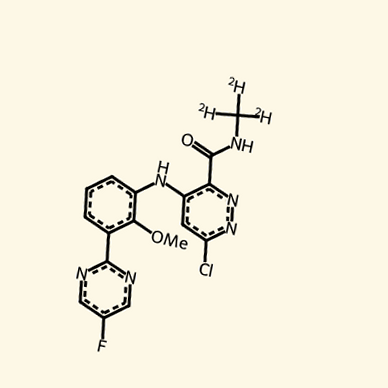 [2H]C([2H])([2H])NC(=O)c1nnc(Cl)cc1Nc1cccc(-c2ncc(F)cn2)c1OC